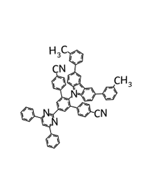 Cc1cccc(-c2ccc3c(c2)c2cc(-c4cccc(C)c4)ccc2n3-c2c(-c3ccc(C#N)cc3)cc(-c3nc(-c4ccccc4)cc(-c4ccccc4)n3)cc2-c2ccc(C#N)cc2)c1